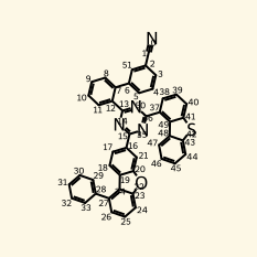 N#Cc1cccc(-c2ccccc2-c2nc(-c3ccc4c(c3)oc3cccc(-c5ccccc5)c34)nc(-c3cccc4sc5ccccc5c34)n2)c1